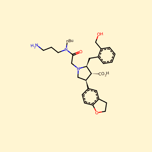 CCCCN(CCCN)C(=O)CN1C[C@H](c2ccc3c(c2)CCO3)[C@@H](C(=O)O)[C@@H]1Cc1ccccc1CO